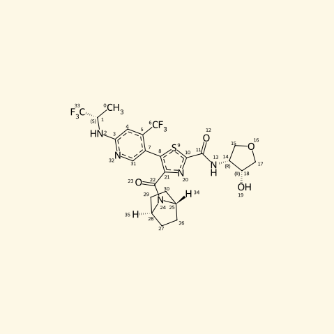 C[C@H](Nc1cc(C(F)(F)F)c(-c2sc(C(=O)N[C@@H]3COC[C@@H]3O)nc2C(=O)N2[C@H]3CC[C@H]2CC3)cn1)C(F)(F)F